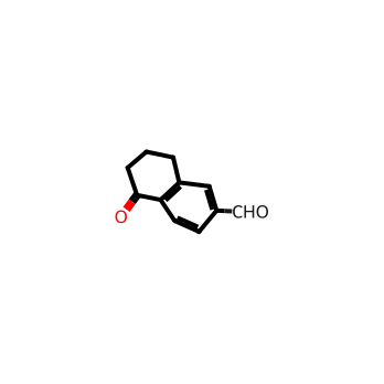 O=Cc1ccc2c(c1)CCCC2=O